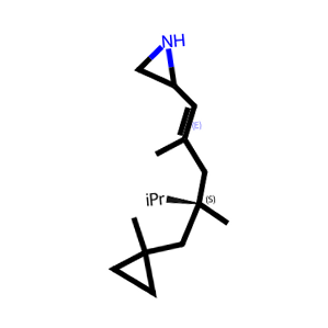 C/C(=C\C1CN1)C[C@](C)(CC1(C)CC1)C(C)C